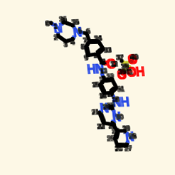 CN1CCCN(Cc2ccc(C(=O)Nc3ccc(Nc4nccc(-c5cccnc5)n4)cc3)cc2)CC1.CS(=O)(=O)O